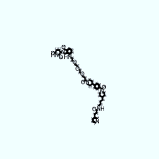 O=C(/C=C/c1cccnc1)NCCCCC1CCN(C(=O)c2ccc(C3CCN(C(=O)CCOCCOCCOCCNc4cccc5c4CN(C4CCC(=O)NC4=O)C5=O)CC3)cc2)CC1